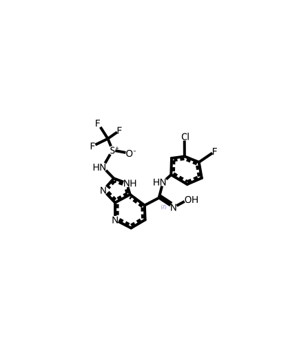 [O-][S+](Nc1nc2nccc(/C(=N/O)Nc3ccc(F)c(Cl)c3)c2[nH]1)C(F)(F)F